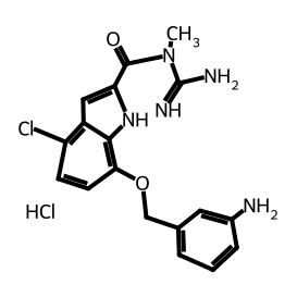 CN(C(=N)N)C(=O)c1cc2c(Cl)ccc(OCc3cccc(N)c3)c2[nH]1.Cl